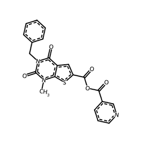 Cn1c(=O)n(Cc2ccccc2)c(=O)c2cc(C(=O)OC(=O)c3cccnc3)sc21